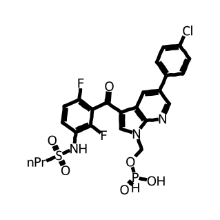 CCCS(=O)(=O)Nc1ccc(F)c(C(=O)c2cn(CO[PH](=O)O)c3ncc(-c4ccc(Cl)cc4)cc23)c1F